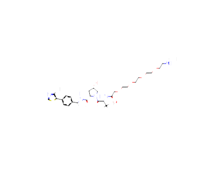 CNCCOCCOCCOCCOCC(=O)N[C@H](C(=O)N1C[C@H](O)C[C@H]1C(=O)N[C@@H](C)c1ccc(-c2scnc2C)cc1)C(C)(C)C